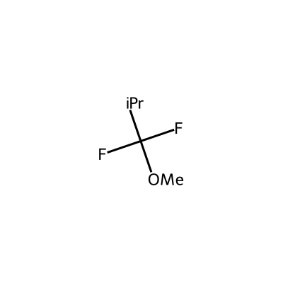 COC(F)(F)C(C)C